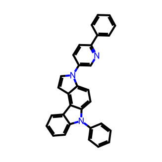 c1ccc(-c2ccc(-n3ccc4c5c6ccccc6n(-c6ccccc6)c5ccc43)cn2)cc1